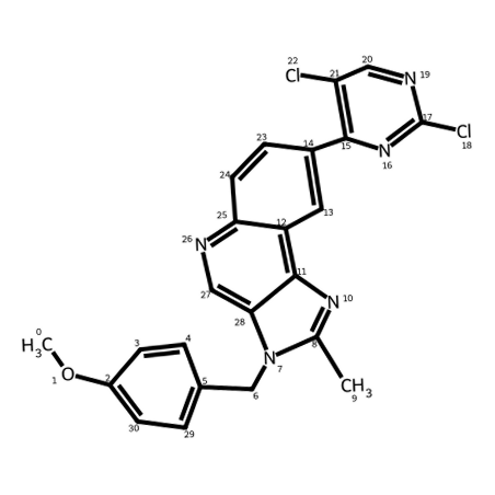 COc1ccc(Cn2c(C)nc3c4cc(-c5nc(Cl)ncc5Cl)ccc4ncc32)cc1